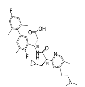 Cc1cnc([C@@H](CC2CC2)C(=O)N[C@@H](CC(=O)O)c2cc(-c3c(C)cc(F)cc3C)cc(C)c2F)cc1CCN(C)C